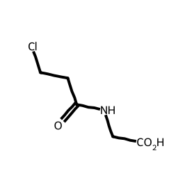 O=C(O)CNC(=O)CCCl